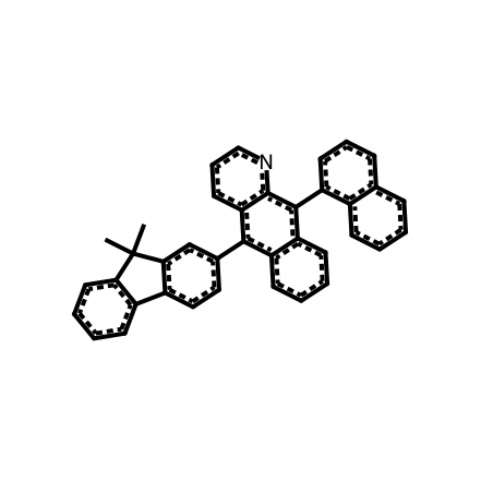 CC1(C)c2ccccc2-c2ccc(-c3c4ccccc4c(-c4cccc5ccccc45)c4ncccc34)cc21